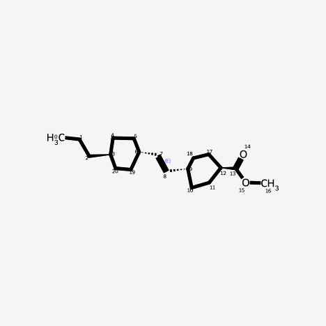 CCC[C@H]1CC[C@H](/C=C/[C@H]2CC[C@H](C(=O)OC)CC2)CC1